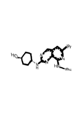 CC(C)c1cc2cnc(N[C@H]3CC[C@H](O)CC3)nc2c(NC(C)(C)C)n1